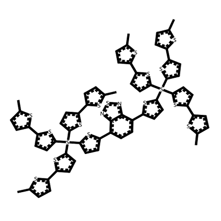 Cc1ccc(-c2ccc(S(c3ccc(-c4ccc(C)s4)s3)(c3ccc(-c4ccc(C)s4)s3)c3ccc(-c4ccc(-c5ccc(S(c6ccc(-c7ccc(C)s7)s6)(c6ccc(-c7ccc(C)s7)s6)c6ccc(-c7ccc(C)s7)s6)s5)c5nsnc45)s3)s2)s1